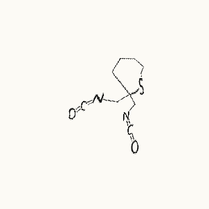 O=C=NCC1(CN=C=O)CCCCS1